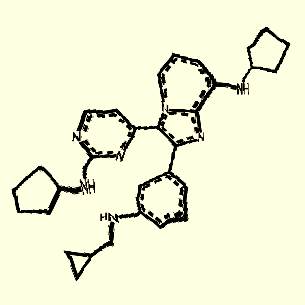 c1cc(NCC2CC2)cc(-c2nc3c(NC4CCCC4)cccn3c2-c2ccnc(NC3CCCC3)n2)c1